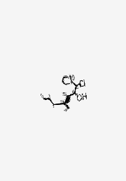 CCCC(C)=CC(O)C(Cl)Cl